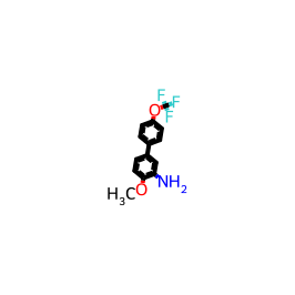 COc1ccc(-c2ccc(OC(F)(F)F)cc2)cc1N